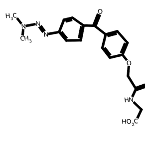 CN(C)N=Nc1ccc(C(=O)c2ccc(OCC(=O)NCC(=O)O)cc2)cc1